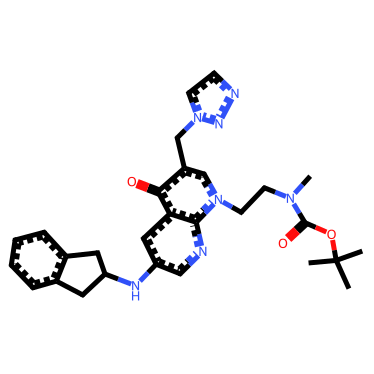 CN(CCn1cc(Cn2ccnn2)c(=O)c2cc(NC3Cc4ccccc4C3)cnc21)C(=O)OC(C)(C)C